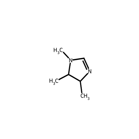 CC1N=CN(C)C1C